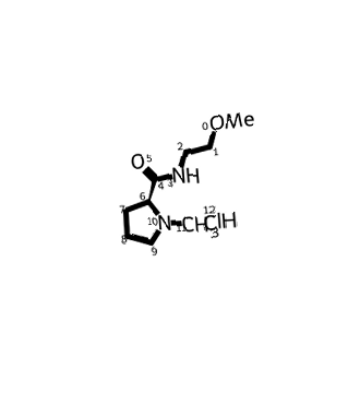 COCCNC(=O)[C@@H]1CCCN1C.Cl